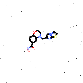 O=C(NO)c1ccc2c(c1)N(Cc1cn3ccsc3n1)CCO2